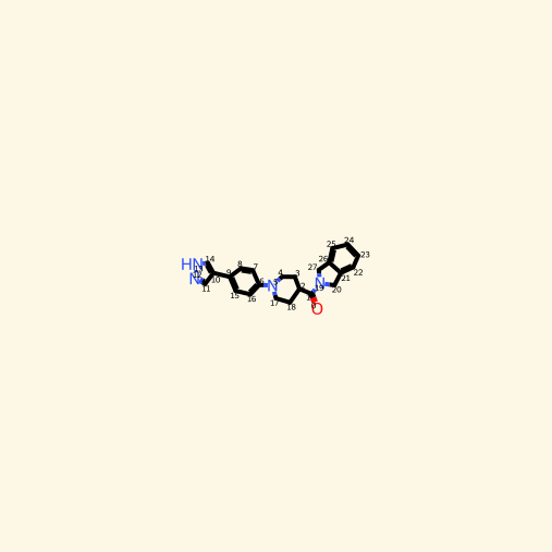 O=C(C1CCN(c2ccc(-c3cn[nH]c3)cc2)CC1)N1Cc2ccccc2C1